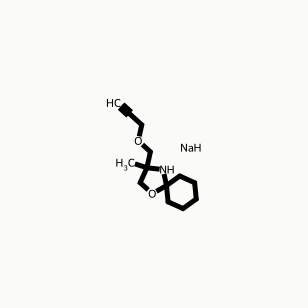 C#CCOCC1(C)COC2(CCCCC2)N1.[NaH]